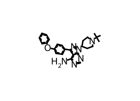 CC(C)(C)N1CCC(n2nc(-c3ccc(Oc4ccccc4)cc3)c3c(N)ncnc32)CC1